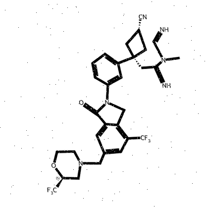 CN(C=N)C(=N)C[C@]1(c2cccc(N3Cc4c(cc(CN5CCO[C@H](C(F)(F)F)C5)cc4C(F)(F)F)C3=O)c2)C[C@H](C#N)C1